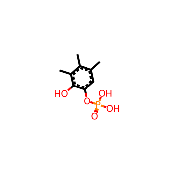 Cc1cc(OP(=O)(O)O)c(O)c(C)c1C